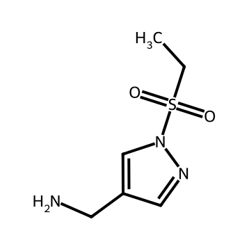 CCS(=O)(=O)n1cc(CN)cn1